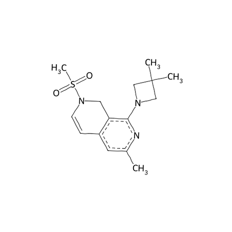 Cc1cc2c(c(N3CC(C)(C)C3)n1)CN(S(C)(=O)=O)C=C2